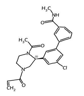 C=CC(=O)N1CCN(C(C)=O)[C@@H](c2cc(Cl)cc(-c3cccc(C(=O)NC)c3)c2)C1